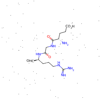 N=C(N)NCCC[C@@H](C=O)NC(=O)CNC(=O)[C@@H](N)CCC(=O)O